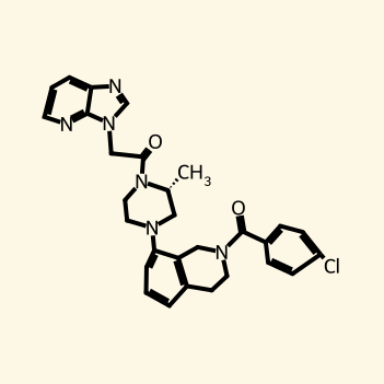 C[C@@H]1CN(c2cccc3c2CN(C(=O)c2ccc(Cl)cc2)CC3)CCN1C(=O)Cn1cnc2cccnc21